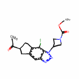 COC(=O)C1Cc2cc3nnn(C4CN(C(=O)OC(C)(C)C)C4)c3c(F)c2C1